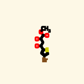 COC(=O)C(=O)CC(=O)c1cc(Br)cs1